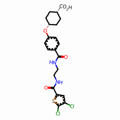 O=C(NCCNC(=O)c1cc(Cl)c(Cl)s1)c1ccc(O[C@H]2CC[C@@H](C(=O)O)CC2)cc1